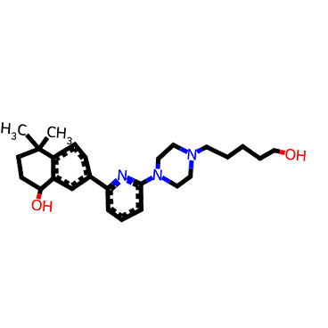 CC1(C)CCC(O)c2cc(-c3cccc(N4CCN(CCCCCO)CC4)n3)ccc21